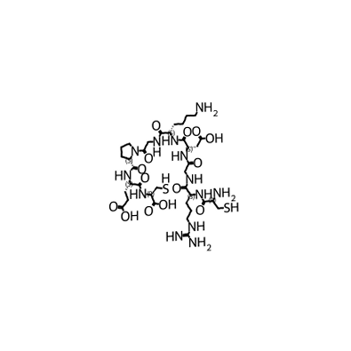 N=C(N)NCCC[C@H](NC(=O)[C@@H](N)CS)C(=O)NCC(=O)N[C@@H](CC(=O)O)C(=O)N[C@@H](CCCCN)C(=O)NCC(=O)N1CCC[C@H]1C(=O)N[C@@H](CCC(=O)O)C(=O)N[C@@H](CS)C(=O)O